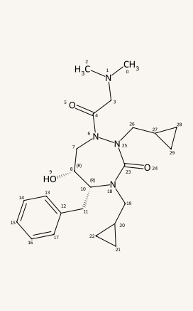 CN(C)CC(=O)N1C[C@@H](O)[C@@H](Cc2ccccc2)N(CC2CC2)C(=O)N1CC1CC1